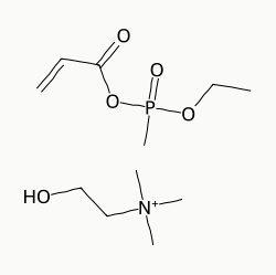 C=CC(=O)OP(C)(=O)OCC.C[N+](C)(C)CCO